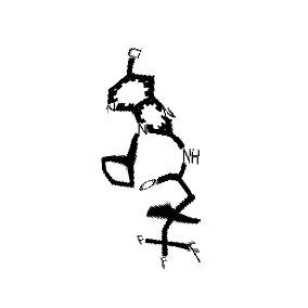 CC(C)(CC(=O)Nc1nc2cc(Cl)cnc2n1C1CCC1)C(F)(F)F